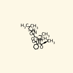 CC#CC(=O)NC1(C(=O)N[C@@H](CC(C)C)C(=O)c2nnc(SC(C)C)o2)CCCCC1